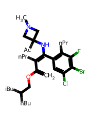 C=C(OCC(CCCC)C(C)CC)/C(CCC)=C(/NC1(C(C)=O)CN(C)C1)c1cc(Cl)c(Br)c(F)c1CCC